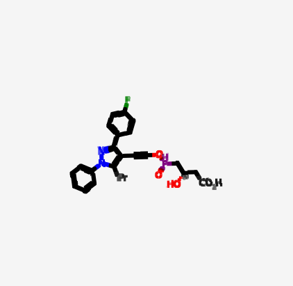 CC(C)c1c(C#CO[PH](=O)C[C@@H](O)CC(=O)O)c(-c2ccc(F)cc2)nn1-c1ccccc1